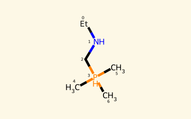 CCNC[PH](C)(C)C